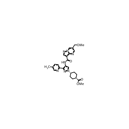 COCc1cnc2c(C(=O)Nc3cn([C@H]4CC[C@H](C(=O)OC)CC4)nc3-c3ccc(C)cn3)cnn2c1